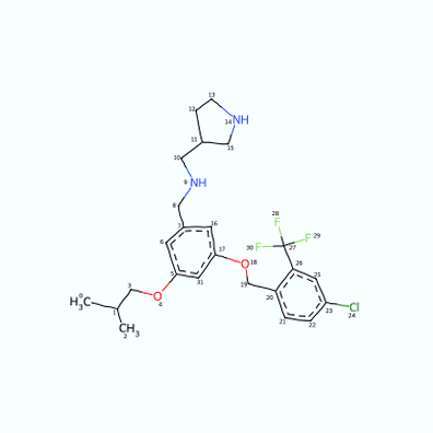 CC(C)COc1cc(CNCC2CCNC2)cc(OCc2ccc(Cl)cc2C(F)(F)F)c1